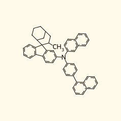 CC1CC2CCCC(C2)C12c1ccccc1-c1ccc(N(c3ccc(-c4cccc5ccccc45)cc3)c3ccc4ccccc4c3)cc12